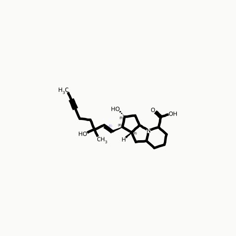 CC#CCCC(C)(O)/C=C/[C@H]1[C@H](O)CC2[C@@H]1CC1CCCC(C(=O)O)N12